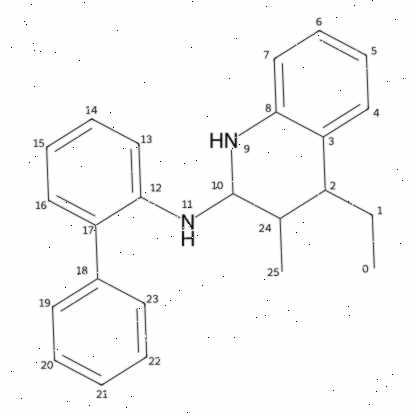 CCC1c2ccccc2NC(Nc2ccccc2-c2ccccc2)C1C